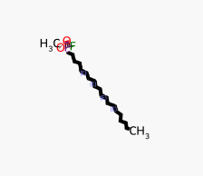 CCCCC/C=C/C/C=C/C/C=C/C/C=C/CCCC[P@](=O)(F)OC